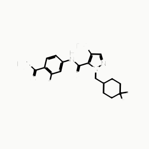 NC(=O)c1ccc(NC(=O)c2c(C(F)(F)F)cnn2CC2CCC(F)(F)CC2)cc1F